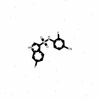 N#Cc1ccc(NS(=O)(=O)c2c[nH]c3cc(F)ccc23)c(F)c1